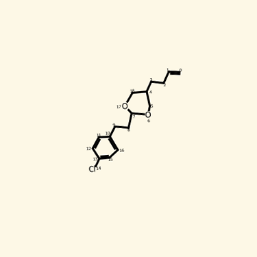 C=CCCC1COC(CCc2ccc(Cl)cc2)OC1